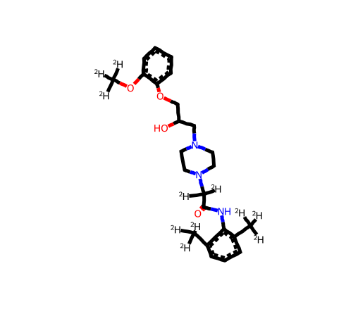 [2H]C([2H])([2H])Oc1ccccc1OCC(O)CN1CCN(C([2H])([2H])C(=O)Nc2c(C([2H])([2H])[2H])cccc2C([2H])([2H])[2H])CC1